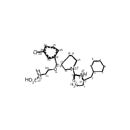 NC[C@H](CC1CCCCC1)NC(=O)N1CCC[C@@H](C(OCCNC(=O)O)c2cccc(Cl)c2)C1